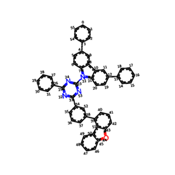 c1ccc(-c2ccc3c(c2)c2cc(-c4ccccc4)ccc2n3-c2nc(-c3ccccc3)nc(-c3cccc(-c4cccc5oc6ccccc6c45)c3)n2)cc1